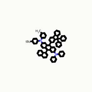 Cc1cccc(N(c2ccc(C(C)(C)C)cc2)c2ccc3c(-c4cccc5ccccc45)c4cc(N(c5ccccc5)c5ccccc5)ccc4c(-c4ccc5c(c4)C(c4ccccc4)(c4ccccc4)c4ccccc4-5)c3c2)c1